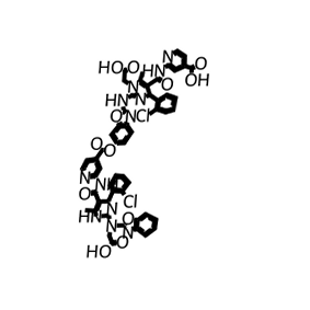 CC1=C(C(=O)Nc2cc(C(=O)Oc3ccc4nc(NC5=NC(c6ccccc6Cl)C(C(=O)Nc6cc(C(=O)O)ccn6)=C(C)N5CC(=O)O)oc4c3)ccn2)C(c2ccccc2Cl)N=C(N(CC(=O)O)c2nc3ccccc3o2)N1